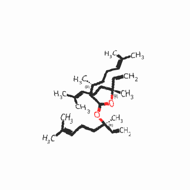 C=C[C@@](C)(CCC=C(C)C)OC(C[C@H](C)CCC=C(C)C)O[C@@](C)(C=C)CCC=C(C)C